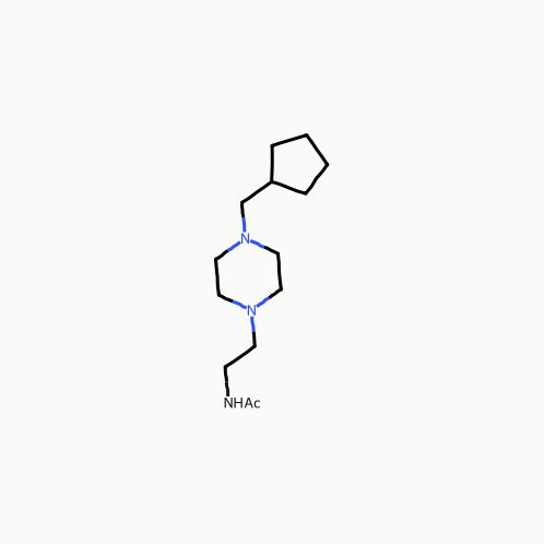 CC(=O)NCCN1CCN(CC2CCCC2)CC1